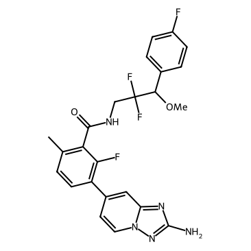 COC(c1ccc(F)cc1)C(F)(F)CNC(=O)c1c(C)ccc(-c2ccn3nc(N)nc3c2)c1F